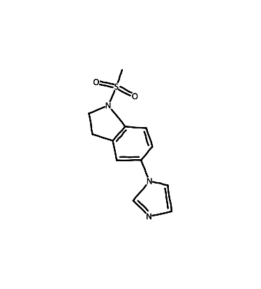 CS(=O)(=O)N1CCc2cc(-n3ccnc3)ccc21